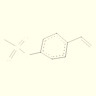 C=Cc1ccc(OS(C)(=O)=O)cc1